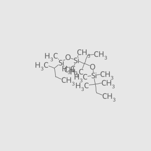 CCC(C)[Si](C)(C)O[Si](C)(C)C(C)(CC)O[Si](C)(C)C(C)(C)CC